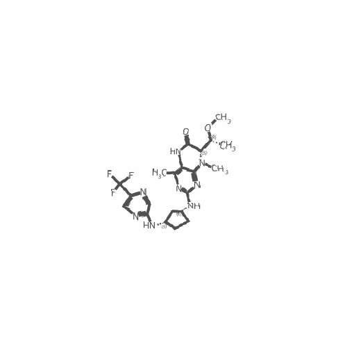 CO[C@H](C)[C@H]1C(=O)Nc2c(C)nc(N[C@@H]3CC[C@H](Nc4cnc(C(F)(F)F)cn4)C3)nc2N1C